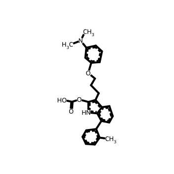 Cc1ccccc1-c1cccc2c(CCCOc3cccc(N(C)C)c3)c(OC(=O)O)[nH]c12